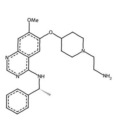 COc1cc2ncnc(N[C@H](C)c3ccccc3)c2cc1OC1CCN(CCN)CC1